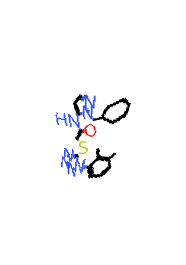 Cc1cccc(-n2nnnc2SCC(=O)Nc2ccnn2CC2CCCCC2)c1C